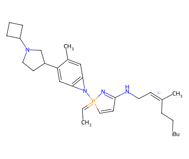 CC=P1(N2c3cc(C)c(C4CCN(C5CCC5)C4)cc32)C=CC(NC/C=C(/C)CCC(C)CC)=N1